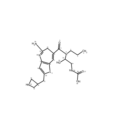 CCCN(C(=O)C1=Cc2sc(CC3CNC3)cc2N=C(N)C1)C(O)CNC(=O)O